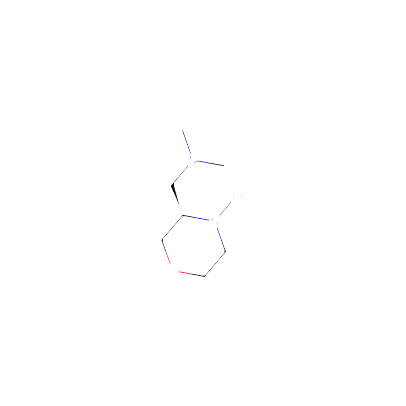 CCN1CCOC[C@H]1CN(C)C